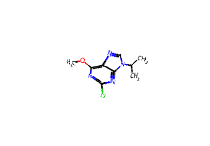 COc1nc(Cl)nc2c1ncn2C(C)C